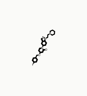 O=c1cc(OCc2ccc(F)cc2)ccn1-c1ccc2c(cnn2CCN2CCCCC2)c1